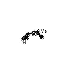 COc1cc(-c2cc(C)c(=O)n(C)c2)cc(OC)c1CN1CCC(C#Cc2ccc3c(c2)C(=O)N(C2CCC(=O)NC2=O)C3)CC1